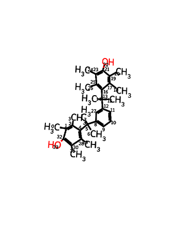 Cc1c(C)c(C(C)(C)c2cccc(C(C)(C)c3c(C)c(C)c(O)c(C)c3C)c2)c(C)c(C)c1O